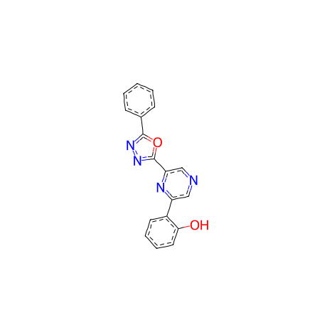 Oc1ccccc1-c1cncc(-c2nnc(-c3ccccc3)o2)n1